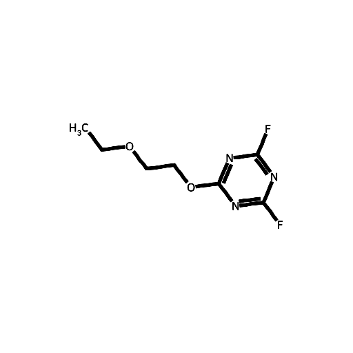 CCOCCOc1nc(F)nc(F)n1